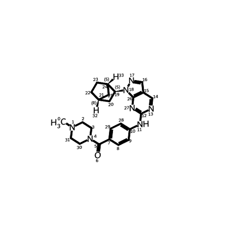 CN1CCN(C(=O)c2ccc(Nc3ncc4cnn([C@H]5C[C@@H]6CC[C@H]5C6)c4n3)cc2)CC1